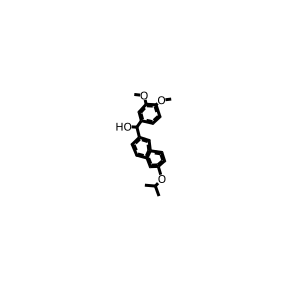 COc1ccc(C(O)c2ccc3cc(OC(C)C)ccc3c2)cc1OC